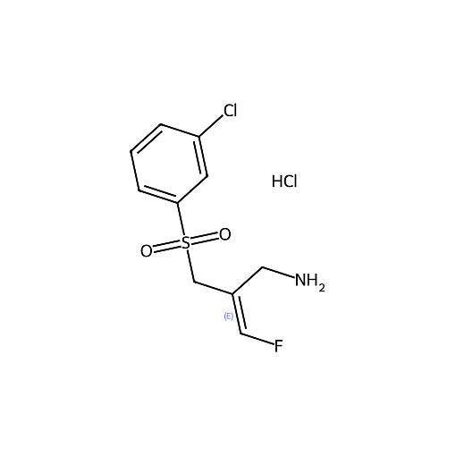 Cl.NC/C(=C\F)CS(=O)(=O)c1cccc(Cl)c1